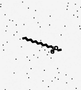 CCCCCCCCCCCCS(=O)OCC